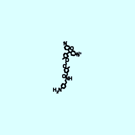 Cc1cc(CC(=O)NCCc2ccc(N)cc2)ccc1OCCOc1cc(-c2c3ccc(=[N+](C)C)cc-3oc3cc(N(C)C)ccc23)ccc1C